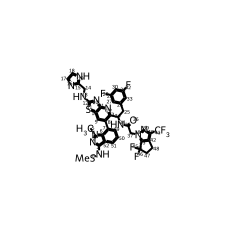 CSNc1nn(C)c2c(-c3cc4sc(NCc5ncc[nH]5)nc4nc3C(Cc3cc(F)cc(F)c3)NC(=O)Cn3nc(C(F)(F)F)c4c3C(F)(F)CC4)cccc12